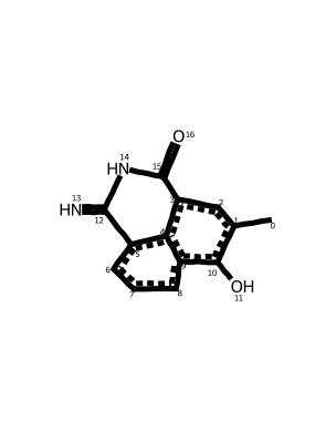 Cc1cc2c3c(cccc3c1O)C(=N)NC2=O